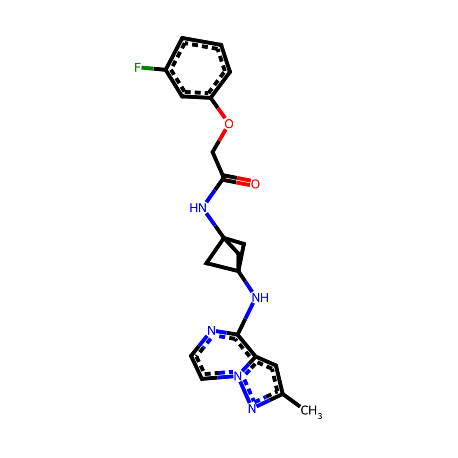 Cc1cc2c(NC34CC(NC(=O)COc5cccc(F)c5)(C3)C4)nccn2n1